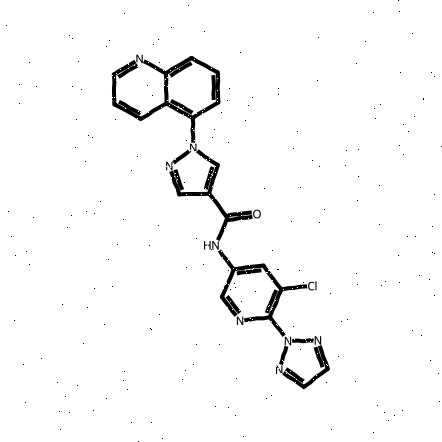 O=C(Nc1cnc(-n2nccn2)c(Cl)c1)c1cnn(-c2cccc3ncccc23)c1